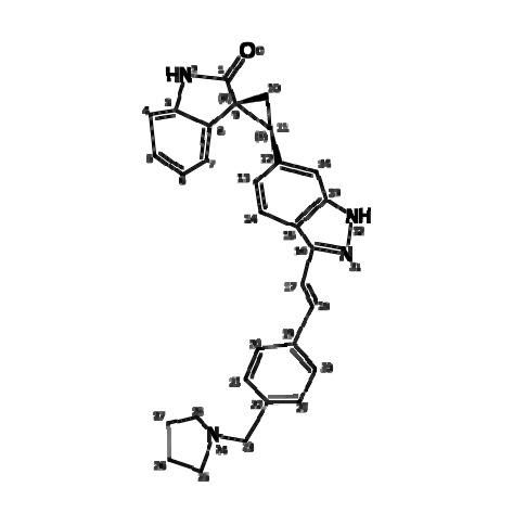 O=C1Nc2ccccc2[C@]12C[C@H]2c1ccc2c(C=Cc3ccc(CN4CCCC4)cc3)n[nH]c2c1